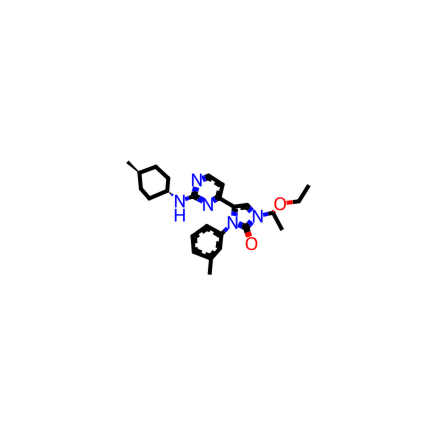 CCOC(C)n1cc(-c2ccnc(N[C@H]3CC[C@H](C)CC3)n2)n(-c2cccc(C)c2)c1=O